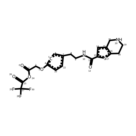 O=C(COc1ccc(CCNC(=O)c2cc3c(s2)CCNC3)cc1)OC(=O)C(F)(F)F